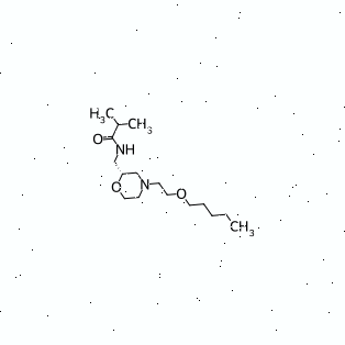 CCCCCOCCN1CCO[C@H](CNC(=O)C(C)C)C1